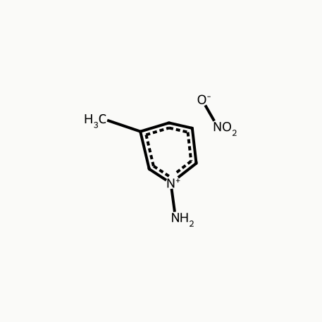 Cc1ccc[n+](N)c1.O=[N+]([O-])[O-]